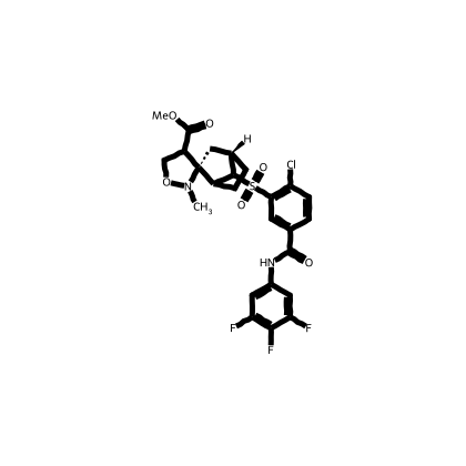 COC(=O)C1CON(C)[C@@]12C[C@@H]1CCC2C1S(=O)(=O)c1cc(C(=O)Nc2cc(F)c(F)c(F)c2)ccc1Cl